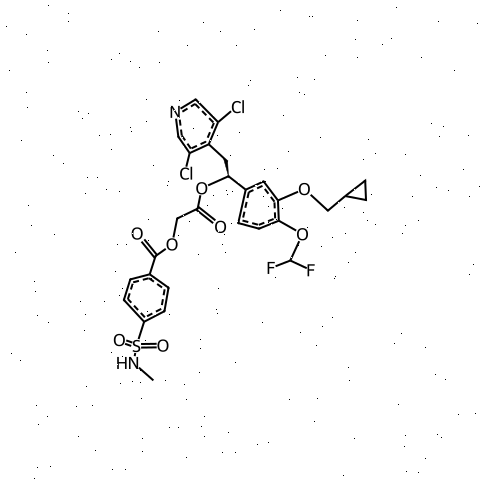 CNS(=O)(=O)c1ccc(C(=O)OCC(=O)O[C@@H](Cc2c(Cl)cncc2Cl)c2ccc(OC(F)F)c(OCC3CC3)c2)cc1